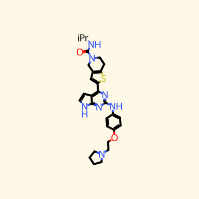 CC(C)NC(=O)N1CCc2sc(-c3nc(Nc4ccc(OCCN5CCCC5)cc4)nc4[nH]ccc34)cc2C1